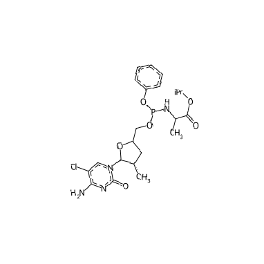 CC(C)OC(=O)C(C)NP(OCC1CC(C)C(n2cc(Cl)c(N)nc2=O)O1)Oc1ccccc1